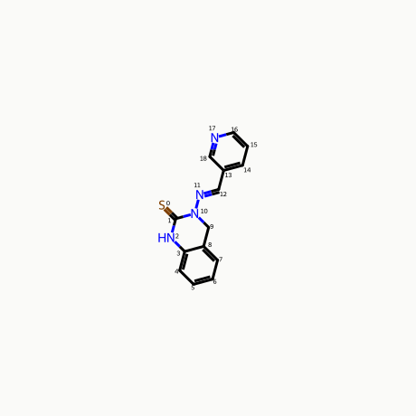 S=C1Nc2ccccc2CN1N=Cc1cccnc1